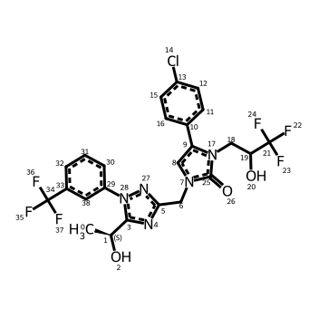 C[C@H](O)c1nc(Cn2cc(-c3ccc(Cl)cc3)n(CC(O)C(F)(F)F)c2=O)nn1-c1cccc(C(F)(F)F)c1